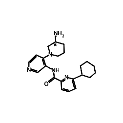 N[C@H]1CCCN(c2ccncc2NC(=O)c2cccc(C3CCCCC3)n2)C1